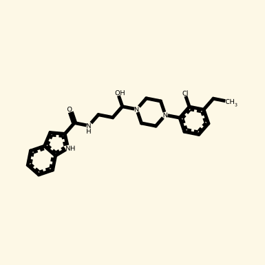 CCc1cccc(N2CCN(C(O)CCNC(=O)c3cc4ccccc4[nH]3)CC2)c1Cl